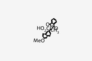 COc1ccc2cc([C@@](C)(C(=O)O)N3C(=O)c4ccccc4C3=O)ccc2c1